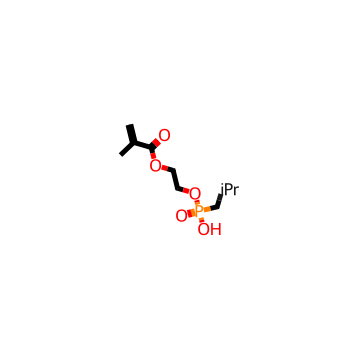 C=C(C)C(=O)OCCOP(=O)(O)CC(C)C